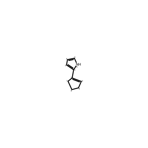 C1=C(c2ccc[nH]2)CCC1